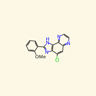 COc1ccccc1-c1nc2c(Cl)cc3nccnc3c2[nH]1